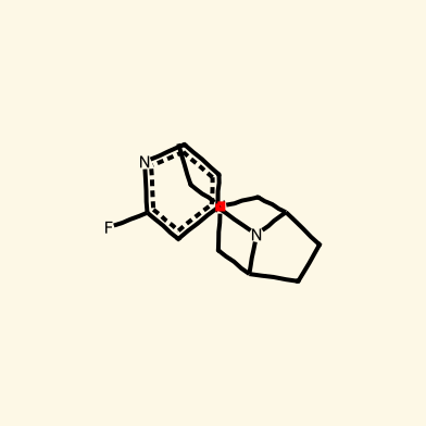 CCN1CC2CCC(C1)N2c1ccnc(F)c1